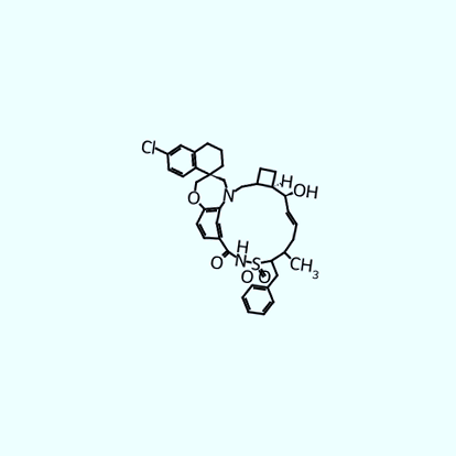 CC1C/C=C/[C@H](O)[C@@H]2CCC2CN2C[C@@]3(CCCc4cc(Cl)ccc43)COc3ccc(cc32)C(=O)NS(=O)(=O)C1Cc1ccccc1